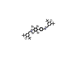 CC(C)(C)C1=CC(=C/N=N/c2ccc(-c3c(Br)c(Br)c(/N=N/C=C4C=C(C(C)(C)C)C(=O)C(C(C)(C)C)=C4)c(Br)c3Br)cc2)C=C(C(C)(C)C)C1=O